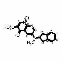 CCn1cc(C(=O)O)c(=O)c2cc(N(C)C3Cc4ccccc4C3)cnc21